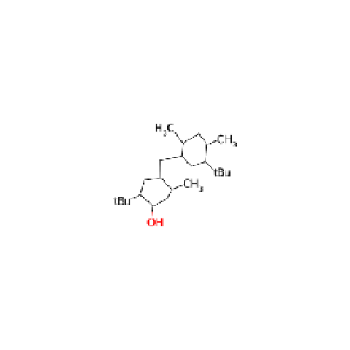 CC1CC(C)C(C(C)(C)C)CC1CC1CC(C(C)(C)C)C(O)CC1C